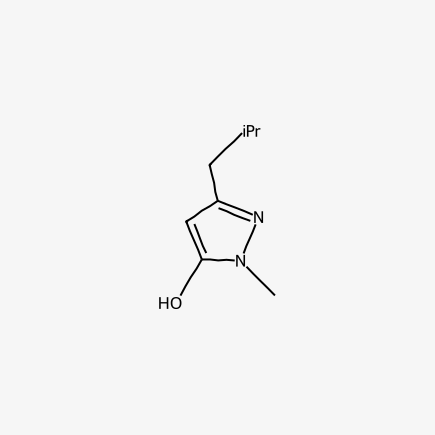 CC(C)Cc1cc(O)n(C)n1